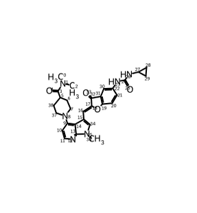 CN(C)C(=O)C1CCN(c2ccnc3c2c(/C=C2\Oc4ccc(NC(=O)NC5CC5)cc4C2=O)cn3C)CC1